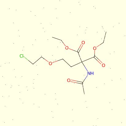 CCOC(=O)C(CCOCCCl)(NC(C)=O)C(=O)OCC